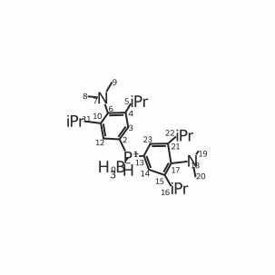 [BH3-][PH+](c1cc(C(C)C)c(N(C)C)c(C(C)C)c1)c1cc(C(C)C)c(N(C)C)c(C(C)C)c1